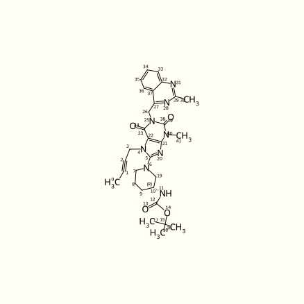 CC#CCn1c(N2CCC[C@@H](NC(=O)OC(C)(C)C)C2)nc2c1c(=O)n(Cc1nc(C)nc3ccccc13)c(=O)n2C